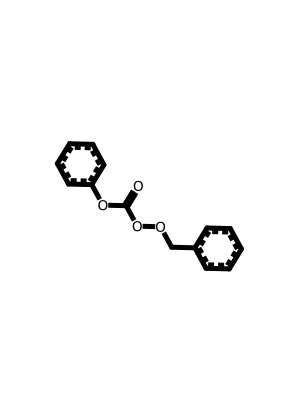 O=C(OOCc1ccccc1)Oc1ccccc1